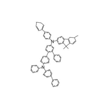 CC1C=CC2=C(C1)c1ccc(N(c3ccc(C4=CCCC=C4)cc3)c3ccc(-c4ccc(N(c5ccccc5)c5ccc(-c6ccccc6)cc5)cc4)c(-c4ccccc4)c3)cc1C2(C)C